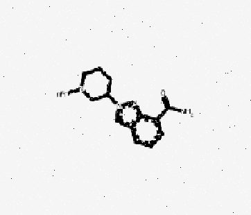 CCCN1CCCC(n2cc3cccc(C(N)=O)c3n2)C1